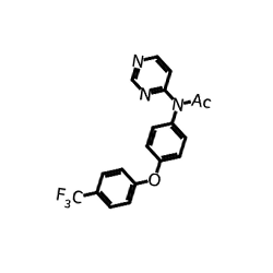 CC(=O)N(c1ccc(Oc2ccc(C(F)(F)F)cc2)cc1)c1ccncn1